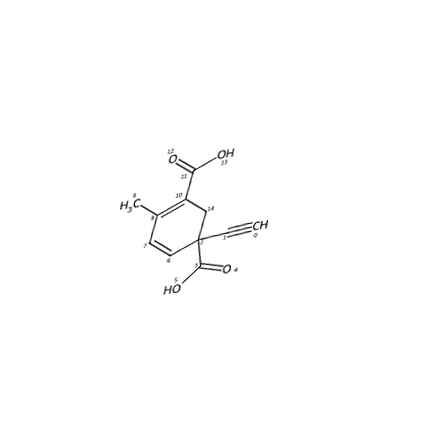 C#CC1(C(=O)O)C=CC(C)=C(C(=O)O)C1